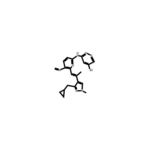 C=Nc1ccc(Nc2cc(C(C)C)cnn2)nc1/C=C(\C)c1cn(C)nc1CC1CC1